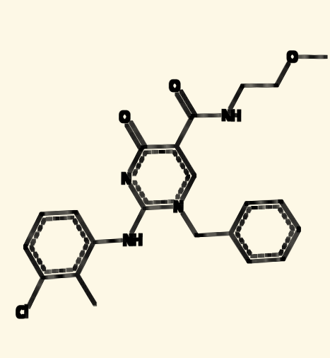 COCCNC(=O)c1cn(Cc2ccccc2)c(Nc2cccc(Cl)c2C)nc1=O